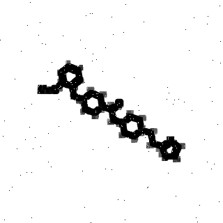 COc1ccccc1CN1CCN(C(=O)CN2CCN(CCc3nccs3)CC2)CC1